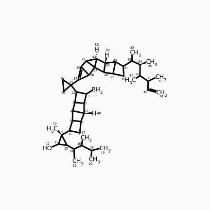 BC1C2C(C3C4C(CC4[C@@]4(C)C(O)C4C(C)C(C)C(C)C)[C@@H]23)C1C1(C2=C3C2C24C5C6CC(C(C)[C@@H](C)C(C)C(C)C=C)C6[C@H]5[C@@H]2C34)CC1